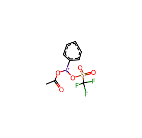 CC(=O)O[I+](OS(=O)(=O)C(F)(F)F)c1ccccc1